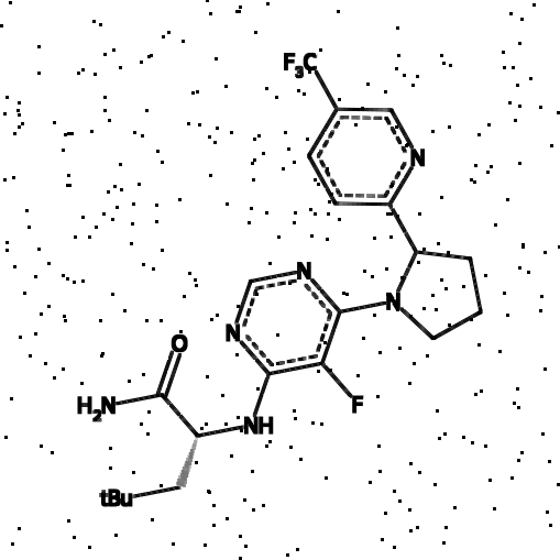 CC(C)(C)C[C@@H](Nc1ncnc(N2CCCC2c2ccc(C(F)(F)F)cn2)c1F)C(N)=O